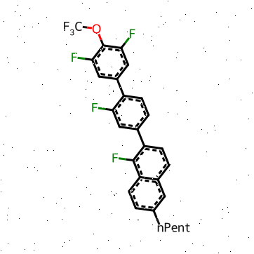 CCCCCc1ccc2c(F)c(-c3ccc(-c4cc(F)c(OC(F)(F)F)c(F)c4)c(F)c3)ccc2c1